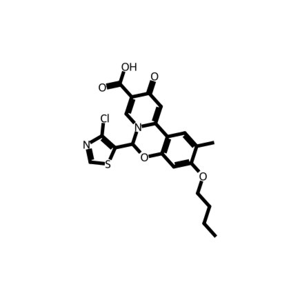 CCCCOc1cc2c(cc1C)-c1cc(=O)c(C(=O)O)cn1C(c1scnc1Cl)O2